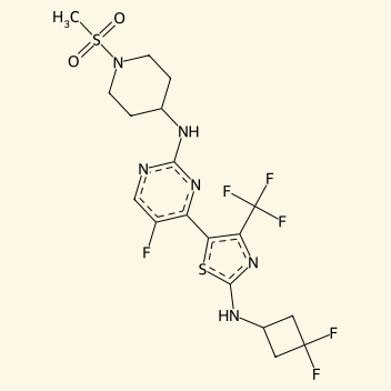 CS(=O)(=O)N1CCC(Nc2ncc(F)c(-c3sc(NC4CC(F)(F)C4)nc3C(F)(F)F)n2)CC1